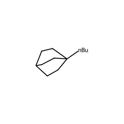 CC[CH]CC12CCC(CC1)CC2